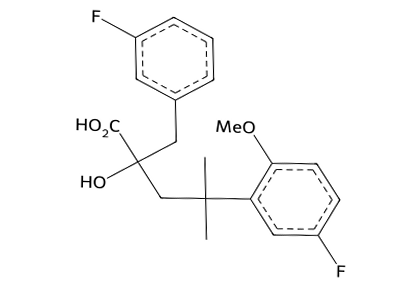 COc1ccc(F)cc1C(C)(C)CC(O)(Cc1cccc(F)c1)C(=O)O